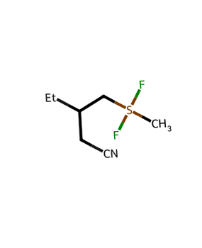 CCC(CC#N)CS(C)(F)F